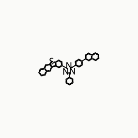 c1ccc(-c2nc(-c3ccc(-c4ccc5ccccc5c4)cc3)nc(-c3ccc4sc5cc6ccccc6cc5c4c3)n2)cc1